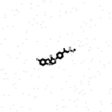 C=NN/C=C(\C)c1ccc(N2CCC3(Cc4cc(F)ccc4N3)C2=O)cc1